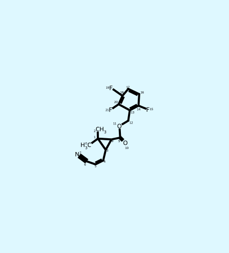 CC1(C)C(/C=C\C#N)C1C(=O)OCc1c(F)ccc(F)c1F